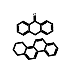 O=C1c2ccccc2Cc2ccccc21.c1ccc2c(c1)ccc1c3c(ccc12)CCCC3